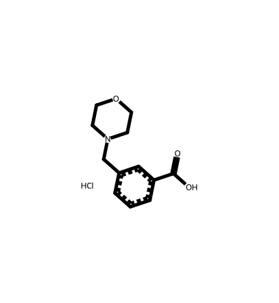 Cl.O=C(O)c1cccc(CN2CCOCC2)c1